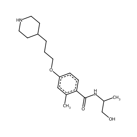 Cc1cc(OCCCC2CCNCC2)ccc1C(=O)NC(C)CO